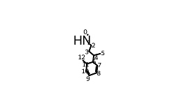 CNCCC(C)C1C=CC=CC1C